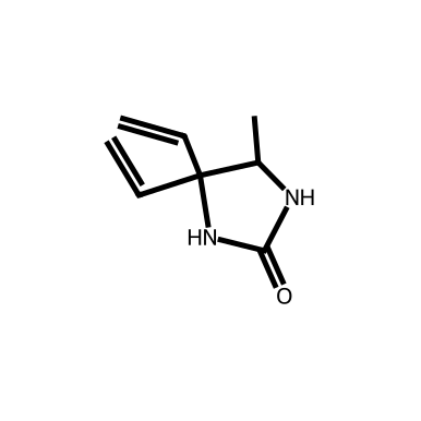 C=CC1(C=C)NC(=O)NC1C